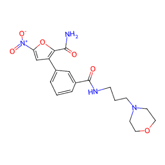 NC(=O)c1oc([N+](=O)[O-])cc1-c1cccc(C(=O)NCCCN2CCOCC2)c1